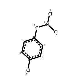 Clc1ccc(ON(Cl)Cl)cc1